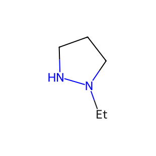 CCN1CCCN1